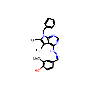 COc1cc(/C=N\Nc2ncnc3c2c(C)c(C)n3Cc2ccccc2)ccc1O